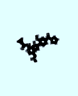 CNCc1cnc(NC(=O)C2CC2)c2[nH]c(-c3ccc(C(=O)N4CCCC4)cc3OC)cc12